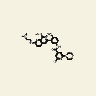 COC1c2nc(NCCN(C)C)ccc2C=C(c2cc(NC(=O)c3cc(Cl)nc(N4CCOCC4)c3)ccc2Cl)[NH+]1[O-]